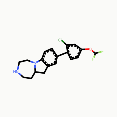 FC(F)Oc1ccc(-c2ccc3c(c2)CC2CCNCCN32)c(Cl)c1